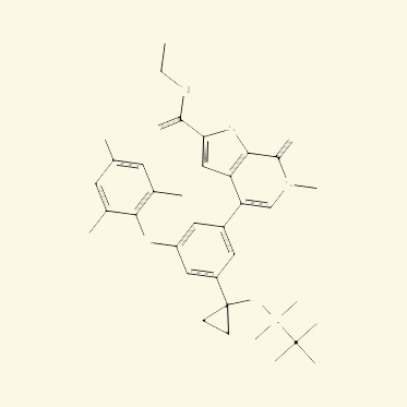 CCNC(=O)c1cc2c(-c3cc(Oc4c(C)cc(F)cc4C)cc(C4(O[Si](C)(C)C(C)(C)C)CC4)c3)cn(C)c(=O)c2[nH]1